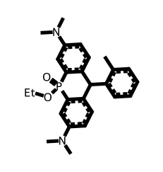 CCOP1(=O)c2cc(N(C)C)ccc2C(c2ccccc2C)c2ccc(N(C)C)cc21